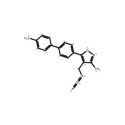 Cc1ccc(-c2ccc(-c3onc(C)c3CN=[N+]=[N-])cc2)cc1